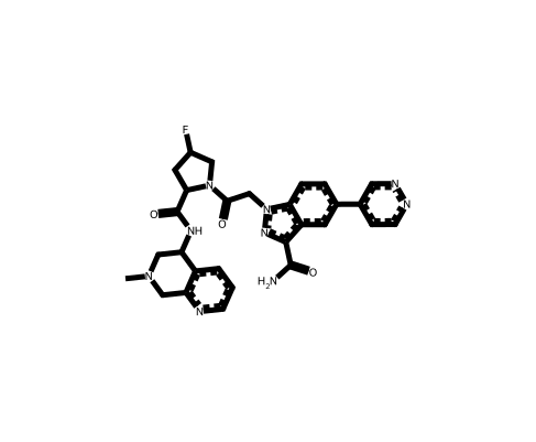 CN1Cc2ncccc2C(NC(=O)C2CC(F)CN2C(=O)Cn2nc(C(N)=O)c3cc(-c4ccnnc4)ccc32)C1